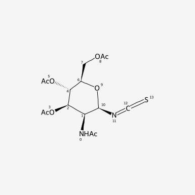 CC(=O)N[C@H]1[C@@H](OC(C)=O)[C@H](OC(C)=O)[C@@H](COC(C)=O)O[C@H]1N=C=S